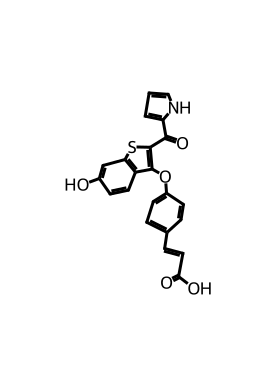 O=C(O)/C=C/c1ccc(Oc2c(C(=O)c3ccc[nH]3)sc3cc(O)ccc23)cc1